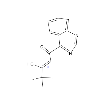 CC(C)(C)/C(O)=C/C(=O)c1ncnc2ccccc12